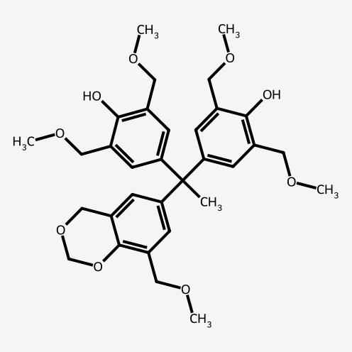 COCc1cc(C(C)(c2cc(COC)c(O)c(COC)c2)c2cc(COC)c3c(c2)COCO3)cc(COC)c1O